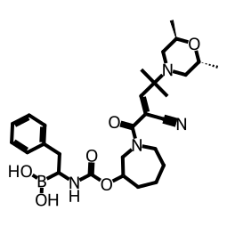 C[C@@H]1CN(C(C)(C)C=C(C#N)C(=O)N2CCCCC(OC(=O)NC(Cc3ccccc3)B(O)O)C2)C[C@@H](C)O1